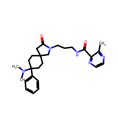 Cc1nccnc1C(=O)NCCCN1CC2(CCC(c3ccccc3)(N(C)C)CC2)CC1=O